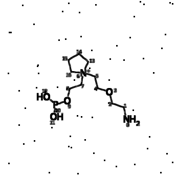 NCCOCC[N+]1(CCOP(O)O)CCCC1